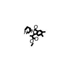 CCOC(=O)C(C)C1c2cc(C)c(C)cc2C(=O)N1c1cccnc1